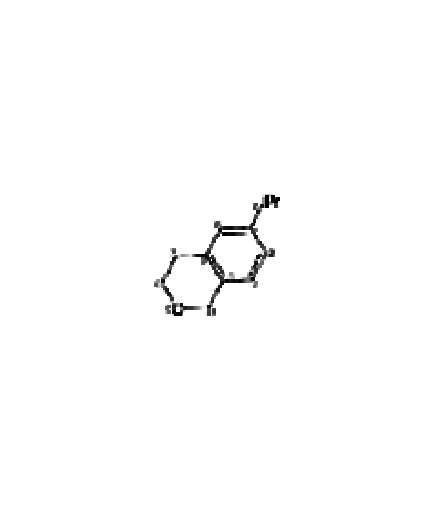 CC(C)c1ccc2c(c1)CCOC2